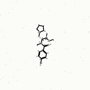 CO[C@H](C)[C@@H](CN1CCCC1)N(C)C(=O)c1ccc(Br)cc1